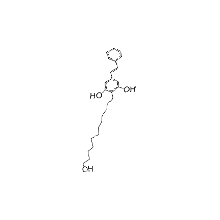 OCCCCCCCCCCCCc1c(O)cc(/C=C/c2ccccc2)cc1O